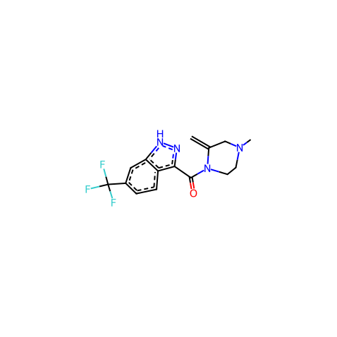 C=C1CN(C)CCN1C(=O)c1n[nH]c2cc(C(F)(F)F)ccc12